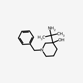 CC(C)(N)C1(O)CCCN(Cc2ccccc2)C1